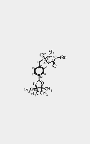 CC(C)(C)OC(=O)N=S(C)(=O)Cc1ccc(B2OC(C)(C)C(C)(C)O2)cc1